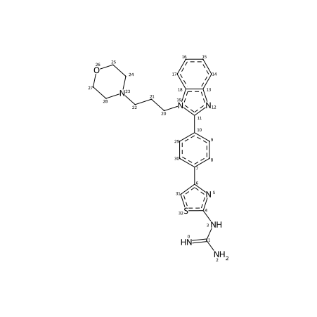 N=C(N)Nc1nc(-c2ccc(-c3nc4ccccc4n3CCCN3CCOCC3)cc2)cs1